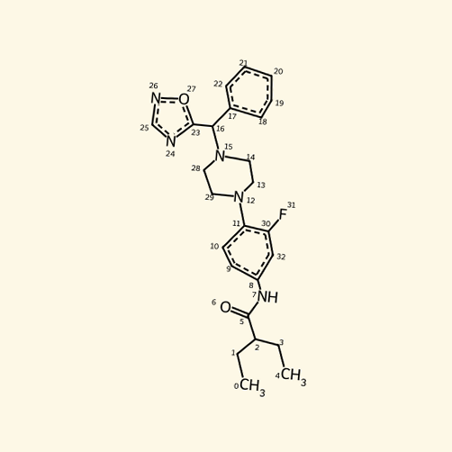 CCC(CC)C(=O)Nc1ccc(N2CCN(C(c3ccccc3)c3ncno3)CC2)c(F)c1